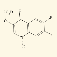 CCOC(=O)Oc1cn(CC)c2cc(F)c(F)cc2c1=O